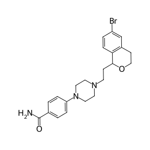 NC(=O)c1ccc(N2CCN(CCC3OCCc4cc(Br)ccc43)CC2)cc1